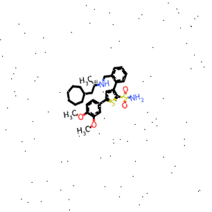 COc1ccc(-c2cc(-c3ccccc3CN[C@@H](C)CC3CCCCCC3)c(S(N)(=O)=O)s2)cc1OC